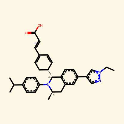 CCn1cc(-c2ccc3c(c2)C[C@@H](C)N(c2ccc(C(C)C)cc2)[C@@H]3C2C=CC(/C=C/C(=O)O)=CC2)cn1